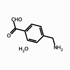 NCc1ccc(C(=O)C=O)cc1.O